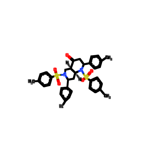 CCc1ccc(C2C[C@H]3[C@@H](CN2S(=O)(=O)c2ccc(C)cc2)C(=O)CC(c2ccc(C)cc2)N3S(=O)(=O)c2ccc(C)cc2)cc1